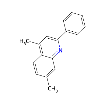 Cc1ccc2c(C)cc(-c3ccccc3)nc2c1